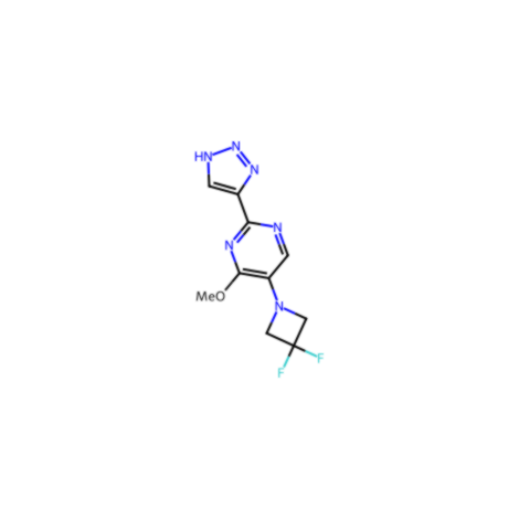 COc1nc(-c2c[nH]nn2)ncc1N1CC(F)(F)C1